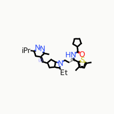 CCC1C2CC(/C=C3/CC(C(C)C)=NN=C3C)CC2N1CC[C@H](NC(=O)C1CCCC1)c1sc(C)cc1C